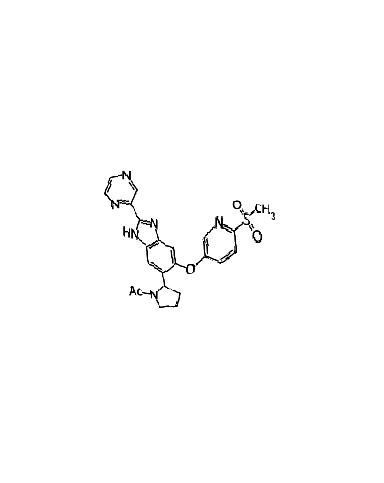 CC(=O)N1CCCC1c1cc2[nH]c(-c3cnccn3)nc2cc1Oc1ccc(S(C)(=O)=O)nc1